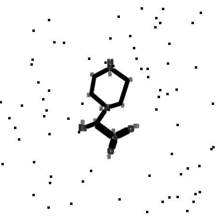 CCC(N1CCNCC1)=S(=O)=O